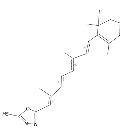 CC1=C(/C=C/C(C)=C/C=C/C(C)=C/c2nnc(S)o2)C(C)(C)CCC1